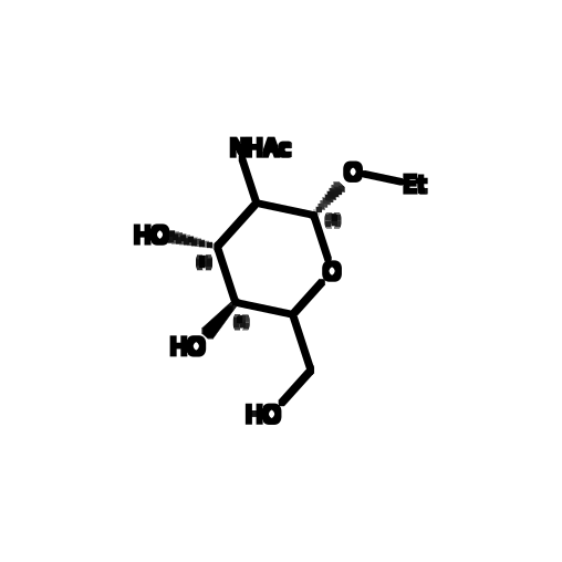 CCO[C@@H]1OC(CO)[C@@H](O)[C@H](O)C1NC(C)=O